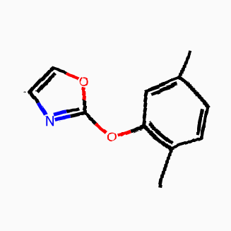 Cc1ccc(C)c(Oc2n[c]co2)c1